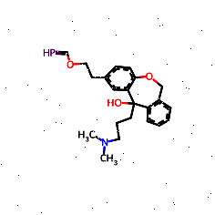 CN(C)CCCC1(O)c2ccccc2COc2ccc(CCOC=P)cc21